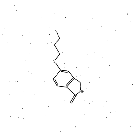 C=C1NCc2cc(SCCCC)ccc21